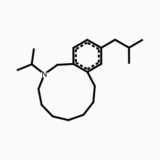 CC(C)Cc1ccc2c(c1)CCCCCCCN(C(C)C)C2